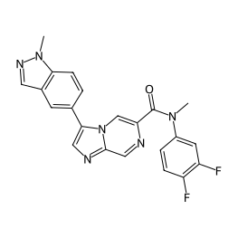 CN(C(=O)c1cn2c(-c3ccc4c(cnn4C)c3)cnc2cn1)c1ccc(F)c(F)c1